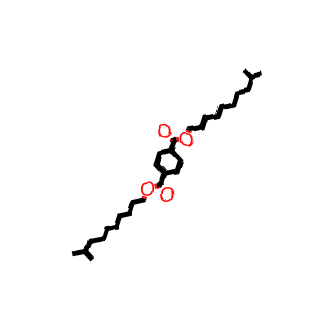 CC(C)CCCCCCCCOC(=O)C1CCC(C(=O)OCCCCCCCCC(C)C)CC1